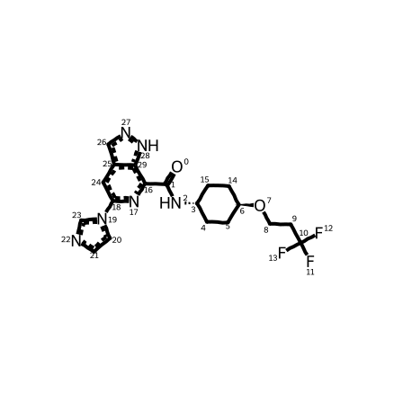 O=C(N[C@H]1CC[C@H](OCCC(F)(F)F)CC1)c1nc(-n2ccnc2)cc2cn[nH]c12